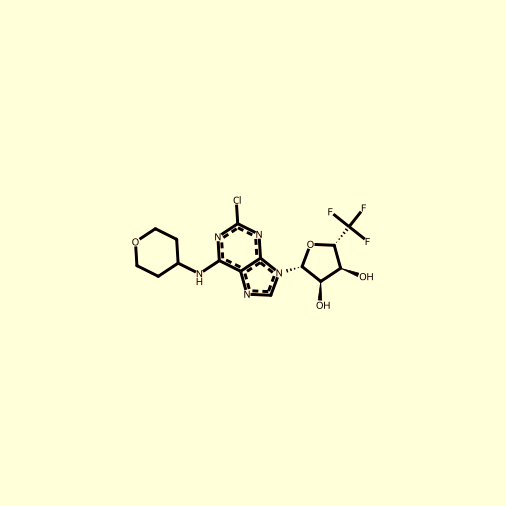 O[C@@H]1[C@H](O)[C@@H](C(F)(F)F)O[C@H]1n1cnc2c(NC3CCOCC3)nc(Cl)nc21